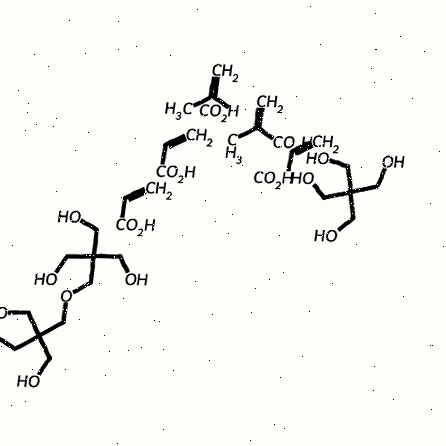 C=C(C)C(=O)O.C=C(C)C(=O)O.C=CC(=O)O.C=CC(=O)O.C=CC(=O)O.OCC(CO)(CO)CO.OCC(CO)(CO)COCC(CO)(CO)CO